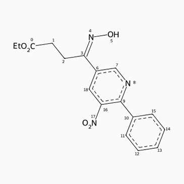 CCOC(=O)CC/C(=N/O)c1cnc(-c2ccccc2)c([N+](=O)[O-])c1